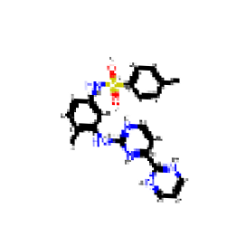 Cc1ccc(S(=O)(=O)Nc2ccc(C)c(Nc3nccc(-c4ncccn4)n3)c2)cc1